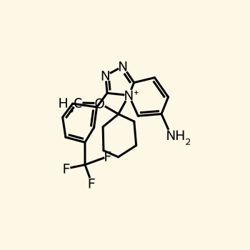 COC1([N+]23C=C(N)C=CC2=NN=C3c2cccc(C(F)(F)F)c2)CCCCC1